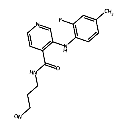 Cc1ccc(Nc2cnccc2C(=O)NCCCN=O)c(F)c1